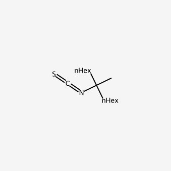 CCCCCCC(C)(CCCCCC)N=C=S